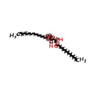 CCCCCCCCCCCCCCCC(=O)OC[C@H](O)[C@H]1OC(=O)C(OC(=O)CCCCCCCCCCCCCCC)=C1O